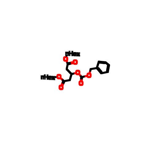 CCCCCCOC(=O)CC(CC(=O)OCCCCCC)OC(=O)OCc1ccccc1